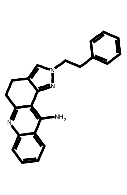 Nc1c2c(nc3ccccc13)CCc1cn(CCc3ccccc3)nc1-2